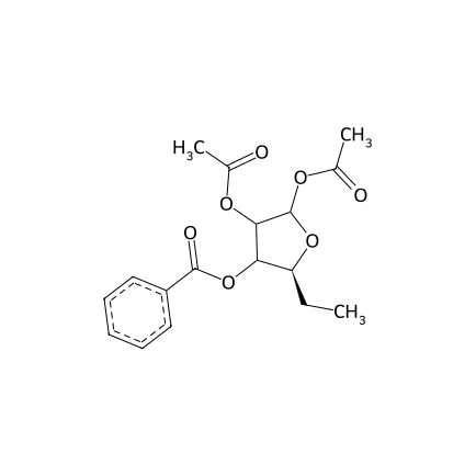 CC[C@@H]1OC(OC(C)=O)C(OC(C)=O)C1OC(=O)c1ccccc1